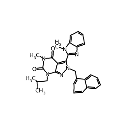 CC(C)Cn1c(=O)n(C)c(=O)c2c(-c3nc4ccccc4n3C)n(Cc3cccc4ccccc34)nc21